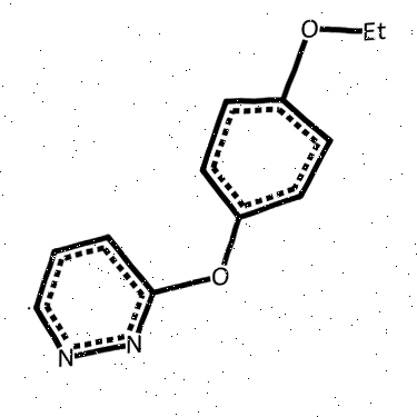 CCOc1ccc(Oc2cc[c]nn2)cc1